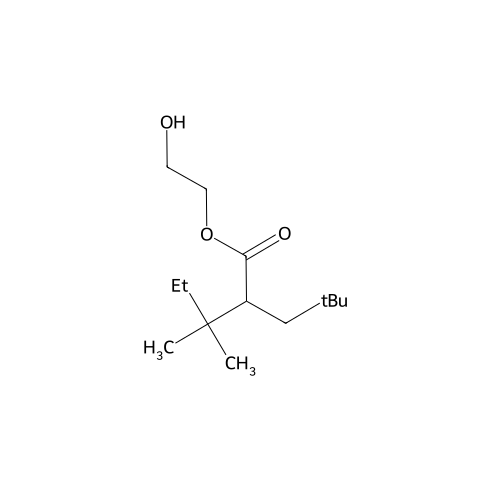 CCC(C)(C)C(CC(C)(C)C)C(=O)OCCO